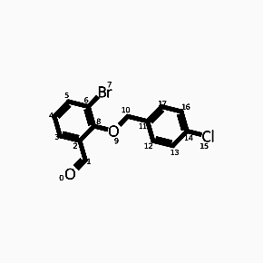 O=Cc1cccc(Br)c1OCc1ccc(Cl)cc1